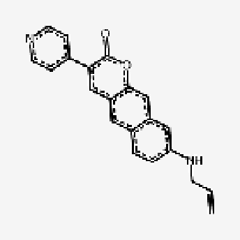 C=CCNc1ccc2cc3cc(-c4ccncc4)c(=O)oc3cc2c1